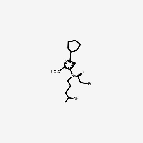 CC(C)CC(=O)N(CCCC(C)O)c1cc(C2CCCCC2)sc1C(=O)O